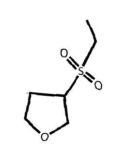 CCS(=O)(=O)C1[CH]COC1